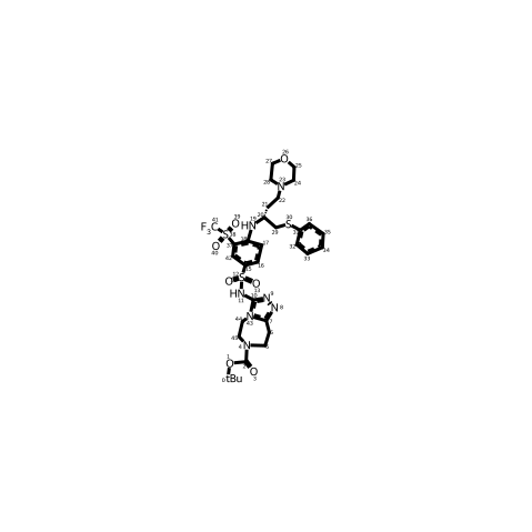 CC(C)(C)OC(=O)N1CCc2nnc(NS(=O)(=O)c3ccc(N[C@H](CCN4CCOCC4)CSc4ccccc4)c(S(=O)(=O)C(F)(F)F)c3)n2CC1